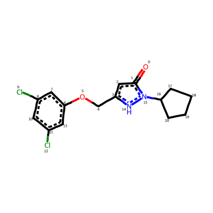 O=c1cc(COc2cc(Cl)cc(Cl)c2)[nH]n1C1CCCC1